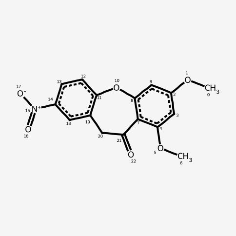 COc1cc(OC)c2c(c1)Oc1ccc([N+](=O)[O-])cc1CC2=O